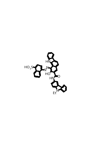 CCn1c2ccccc2c2cc(NC(=O)c3cc4ccc5c6ccccc6[nH]c5c4c(/N=N/c4ccc(S(=O)(=O)O)c5ccccc45)c3O)ccc21